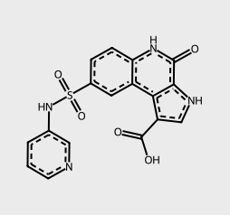 O=C(O)c1c[nH]c2c(=O)[nH]c3ccc(S(=O)(=O)Nc4cccnc4)cc3c12